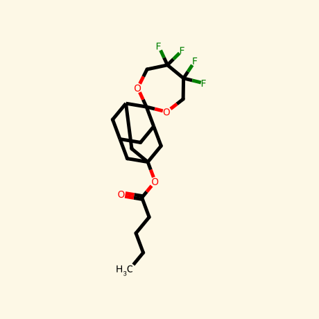 CCCCC(=O)OC12CC3CC(C1)C1(OCC(F)(F)C(F)(F)CO1)C(C3)C2